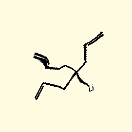 [Li][C](CC=C)(CC=C)CC=C